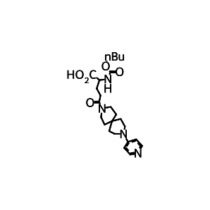 CCCCOC(=O)NC(CCC(=O)N1CCC2(CC1)CCN(c1ccncc1)CC2)C(=O)O